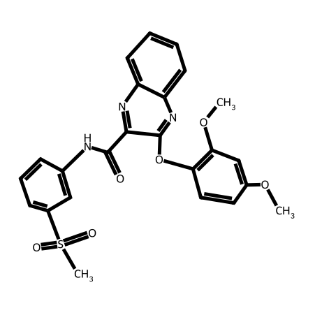 COc1ccc(Oc2nc3ccccc3nc2C(=O)Nc2cccc(S(C)(=O)=O)c2)c(OC)c1